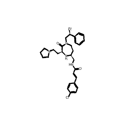 CC[C@H](CN1CC[C@@H](CNC(=O)C=Cc2ccc(Cl)cc2)N[C@@H](CCN2CCCC2)C1=O)c1ccccc1